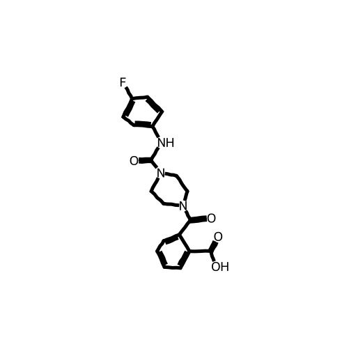 O=C(O)c1ccccc1C(=O)N1CCN(C(=O)Nc2ccc(F)cc2)CC1